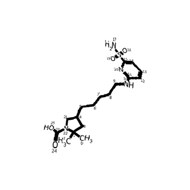 CC1(C)CC(CCCCCNc2cccc(S(N)(=O)=O)n2)CN1C(=O)O